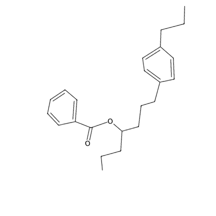 CCCc1ccc(CCCC(CCC)OC(=O)c2ccccc2)cc1